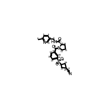 Cc1ccc(CNC(=O)[C@H]2CCCN2C(=O)c2cccc(S(=O)(=O)C3CC(C#N)C3)c2)cn1